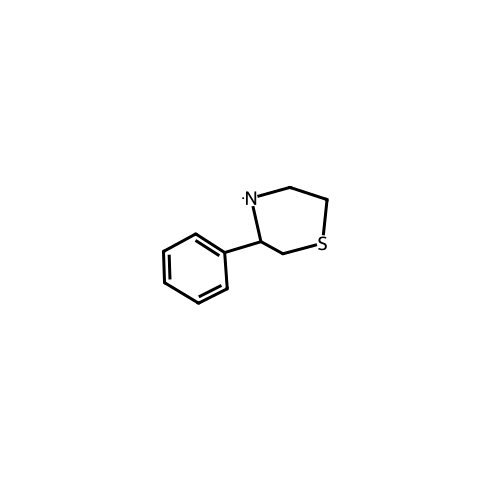 c1ccc(C2CSCC[N]2)cc1